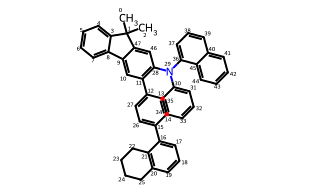 CC1(C)c2ccccc2-c2cc(-c3ccc(-c4cccc5c4CCCC5)cc3)c(N(c3ccccc3)c3cccc4ccccc34)cc21